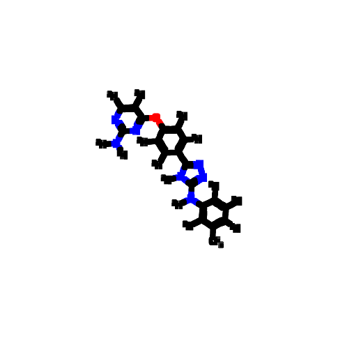 [2H]c1nc(N([2H])[2H])nc(Oc2c([2H])c([2H])c(-c3nnc(N([2H])c4c([2H])c([2H])c([2H])c(C(F)(F)F)c4[2H])n3[2H])c([2H])c2[2H])c1[2H]